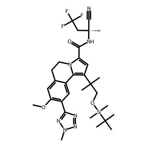 COc1cc2c(cc1-c1nnn(C)n1)-c1c(C(C)(C)CO[Si](C)(C)C(C)(C)C)cc(C(=O)N[C@](C)(C#N)CC(F)(F)F)n1CC2